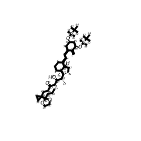 C=C1/C(=C\C=C2/CCC[C@]3(C)[C@@H]([C@H](C)C(O)CC(=O)CCC4(C5(CCC)OCCO5)CC4)CC[C@@H]23)C[C@@H](O[Si](C)(C)C(C)(C)C)C[C@@H]1O[Si](C)(C)C(C)(C)C